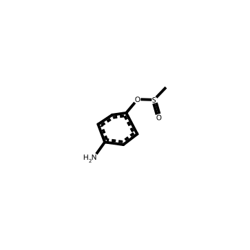 CS(=O)Oc1ccc(N)cc1